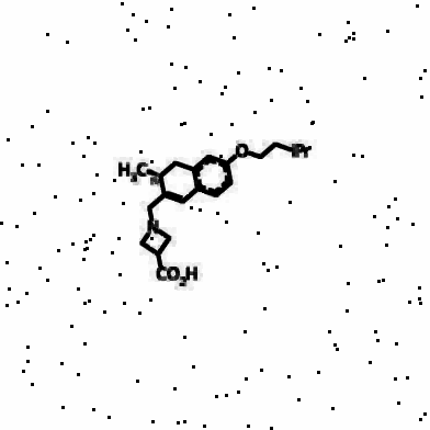 CC(C)CCOc1ccc2c(c1)C[C@H](C)C(CN1CC(C(=O)O)C1)=C2